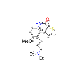 CCN(CC)C/C=C/c1c(OC)ccc2[nH]c(=O)c3sccc3c12